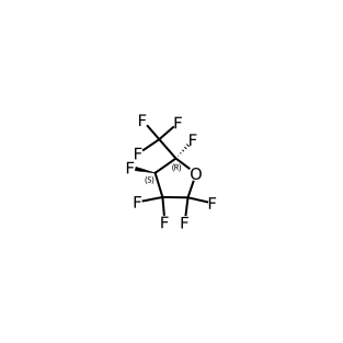 F[C@@H]1C(F)(F)C(F)(F)O[C@]1(F)C(F)(F)F